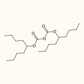 CCCCC(CCCC)OC(=O)OC(=O)OC(CCCC)CCCC